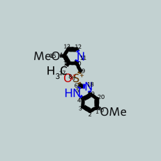 COc1ccc2[nH]c([S+]([O-])Cc3nccc(OC)c3C)nc2c1